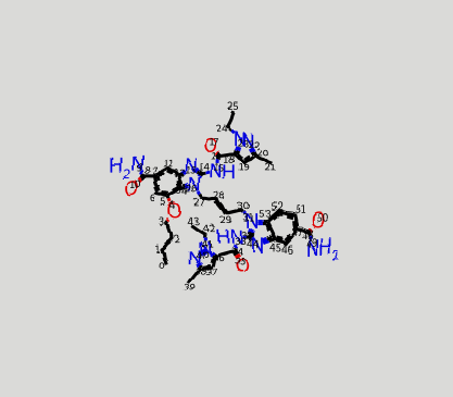 CCCCOc1cc(C(N)=O)cc2nc(NC(=O)c3cc(C)nn3CC)n(C/C=C/Cn3c(NC(=O)c4cc(C)nn4CC)nc4cc(C(N)=O)ccc43)c12